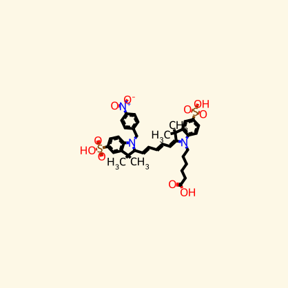 CC1(C)\C(=C/C=C/C=C/C2N(Cc3ccc([N+](=O)[O-])cc3)c3ccc(S(=O)(=O)O)cc3C2(C)C)N(CCCCCC(=O)O)c2ccc(S(=O)(=O)O)cc21